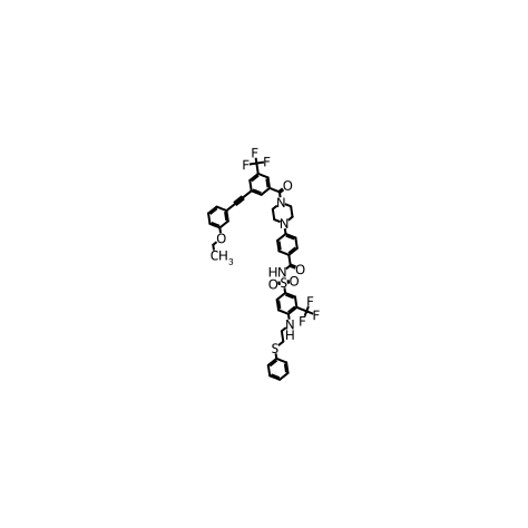 CCOc1cccc(C#Cc2cc(C(=O)N3CCN(c4ccc(C(=O)NS(=O)(=O)c5ccc(NCCSc6ccccc6)c(C(F)(F)F)c5)cc4)CC3)cc(C(F)(F)F)c2)c1